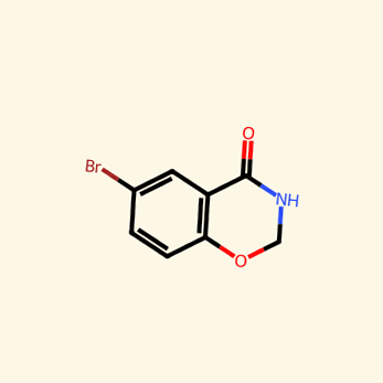 O=C1NCOc2ccc(Br)cc21